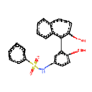 O=S(=O)(Nc1ccc(O)c(-c2c(O)ccc3ccccc23)c1)c1ccccc1